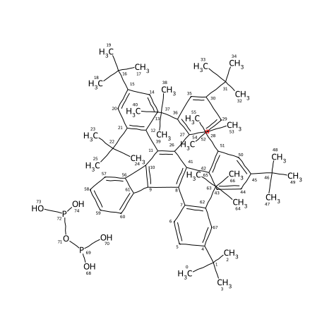 CC(C)(C)c1ccc(-c2c3c(c(-c4ccc(C(C)(C)C)cc4C(C)(C)C)c(-c4ccc(C(C)(C)C)cc4C(C)(C)C)c2-c2ccc(C(C)(C)C)cc2C(C)(C)C)-c2ccccc2-3)c(C(C)(C)C)c1.OP(O)OP(O)O